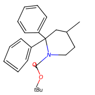 CC1CCN(C(=O)OC(C)(C)C)C(c2ccccc2)(c2ccccc2)C1